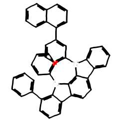 c1ccc(-c2cccc3c4ccc5c6ccccc6n(-c6cccc(-c7cccc8ccccc78)c6)c5c4n(-c4ccccc4)c23)cc1